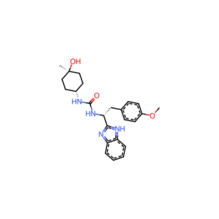 COc1ccc(C[C@@H](NC(=O)N[C@H]2CC[C@](C)(O)CC2)c2nc3ccccc3[nH]2)cc1